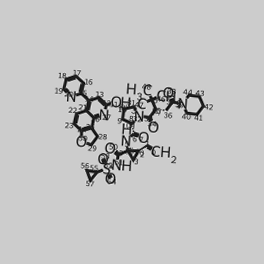 C=C[C@H]1C[C@]1(NC(=O)[C@@H]1C[C@@H](Oc2cc(-c3ccccn3)c3ccc4c(c3n2)CCO4)CN1C(=O)[C@@H](CC(=O)N1CCCCC1)C(C)(C)C)C(=O)NS(=O)(=O)C1CC1